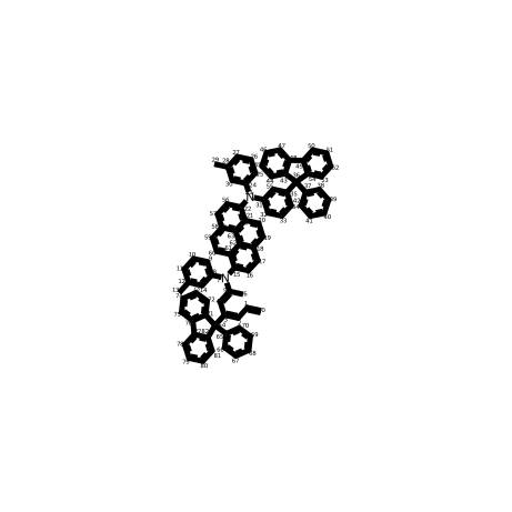 C=C/C=C(\C=C(/C)N(c1cccc(C)c1)c1ccc2ccc3c(N(c4cccc(C)c4)c4cccc(C5(c6ccccc6)c6ccccc6-c6ccccc65)c4)ccc4ccc1c2c43)C1(c2ccccc2)c2ccccc2-c2ccccc21